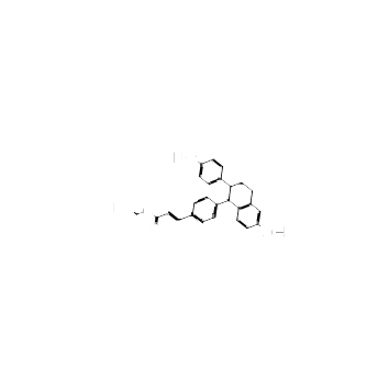 CCOC(=O)C=Cc1ccc(C2c3ccc(O)cc3CCC2c2ccc(O)cc2)cc1